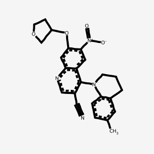 Cc1ccc2c(c1)CCCN2c1c(C#N)cnc2cc(OC3CCOC3)c([N+](=O)[O-])cc12